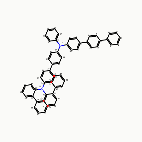 c1ccc(-c2ccc(-c3ccc(N(c4ccccc4)c4ccc(-c5ccc(N(c6ccccc6-c6ccccc6)c6ccccc6-c6ccccc6)cc5)cc4)cc3)cc2)cc1